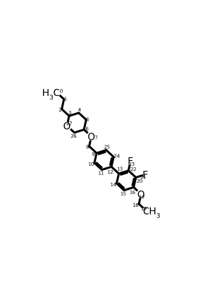 CCCC1CCC(OCc2ccc(-c3ccc(OCC)c(F)c3F)cc2)CO1